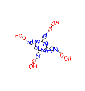 OCCOCCCN1C=CC(c2c3nc(c(C4=CCN(CCCOCCO)C=C4)c4ccc([nH]4)c(C4=CCN(CCCOCCO)C=C4)c4nc(c(C5=CCN(CCCOCCO)C=C5)c5ccc2[nH]5)C=C4)C=C3)=CC1